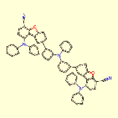 N#Cc1ccc(N(c2ccccc2)c2ccccc2)c2c1oc1ccc(-c3cccc(N(c4ccccc4)c4cccc(-c5ccc6oc7c(C#N)ccc(N(c8ccccc8)c8ccccc8)c7c6c5)c4)c3)cc12